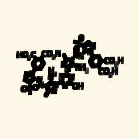 Cc1nn(-c2nc(O)nc(-n3nc(C)c(N=Nc4c(S(C)(=O)=O)cnn4-c4ccc(C(=O)O)c(C(=O)O)c4)c3N)n2)c(N)c1N=Nc1c(S(C)(=O)=O)cnn1-c1ccc(C(=O)O)c(C(=O)O)c1